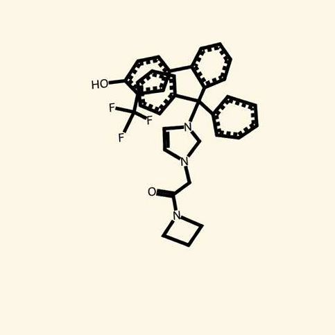 O=C(CN1C=CN(C(c2ccccc2)(c2ccccc2)c2ccccc2-c2ccc(O)c(C(F)(F)F)c2)C1)N1CCC1